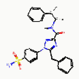 C[C@@H](c1ccccc1)[C@H](C)N(C)C(=O)c1nc(Cc2ccccc2)n(-c2ccc(S(N)(=O)=O)cc2)n1